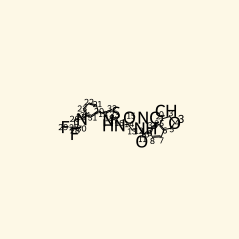 C[C@@]1(C#N)COCc2ccc(C(=O)NCC(=O)Nc3nc(-c4cccc(N5CC(F)(F)C5)c4)cs3)cc21